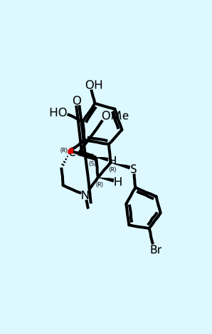 COC1=C[C@@H]2[C@@H]3[C@H](Sc4ccc(Br)cc4)c4ccc(O)c(O)c4[C@]2(CCN3C)CC1=O